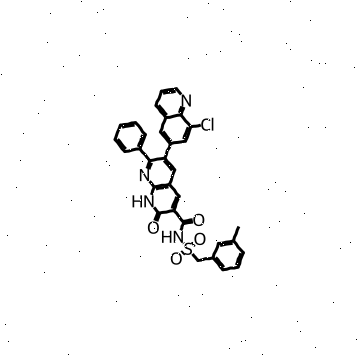 Cc1cccc(CS(=O)(=O)NC(=O)c2cc3cc(-c4cc(Cl)c5ncccc5c4)c(-c4ccccc4)nc3[nH]c2=O)c1